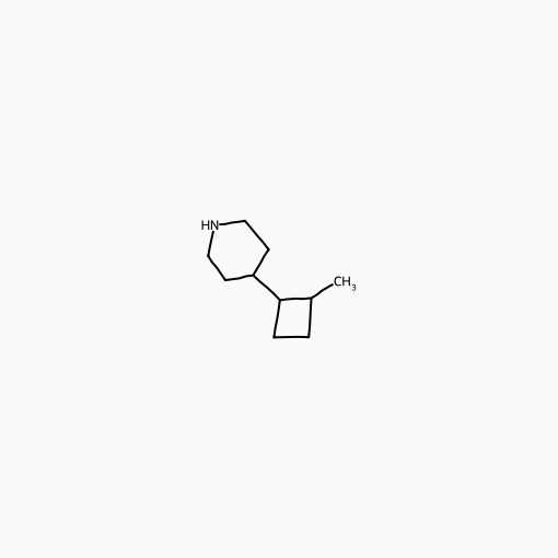 CC1CCC1C1CCNCC1